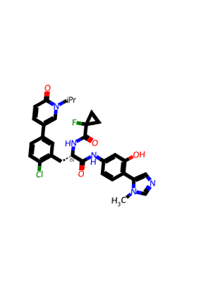 CC(C)n1cc(-c2ccc(Cl)c(C[C@H](NC(=O)C3(F)CC3)C(=O)Nc3ccc(-c4cncn4C)c(O)c3)c2)ccc1=O